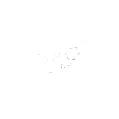 CCOC(=O)C(Nc1ccc(SC)cc1)C(C)C